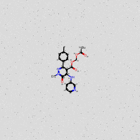 CCn1nc(-c2ccc(C)cc2)c(C(=O)OCOC(=O)C(C)(C)C)c(Nc2cccnc2)c1=O